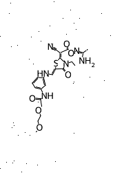 CCn1c(=C(C#N)C(=O)ON=C(C)N)sc(=CNc2cccc(NC(=O)COCCOC)c2)c1=O